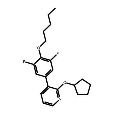 CCCCCOc1c(F)cc(-c2cccnc2OC2CCCC2)cc1F